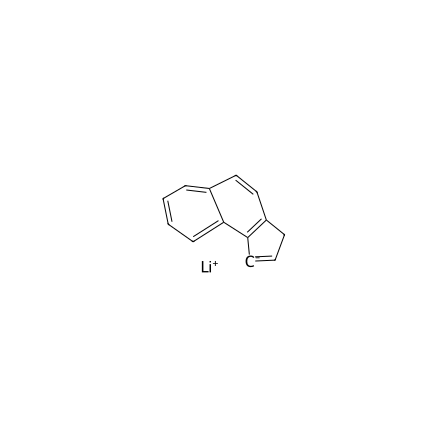 [C-]1=CCc2ccc3ccccc3c21.[Li+]